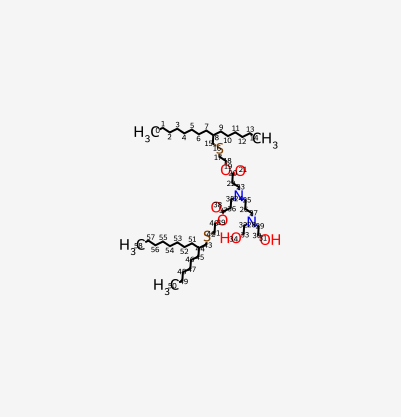 CCCCCCCCC(CCCCCC)CSCCOC(=O)CCN(CCCN(CCO)CCO)CCC(=O)OCCSCC(CCCCCC)CCCCCCCC